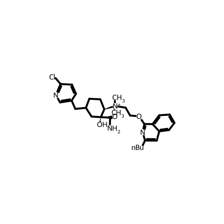 CCCCc1cc2ccccc2c(OCC[N+](C)(C)[C@@H]2CCC(Cc3ccc(Cl)nc3)C[C@]2(O)C(N)=O)n1